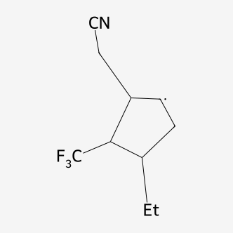 [CH2]CC1C[CH]C(CC#N)C1C(F)(F)F